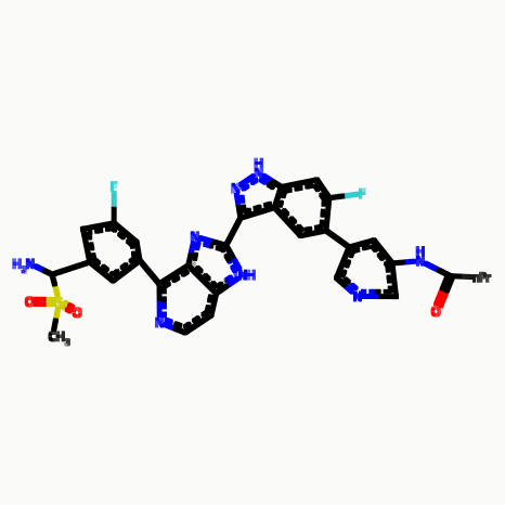 CCCC(=O)Nc1cncc(-c2cc3c(-c4nc5c(-c6cc(F)cc(C(N)S(C)(=O)=O)c6)nccc5[nH]4)n[nH]c3cc2F)c1